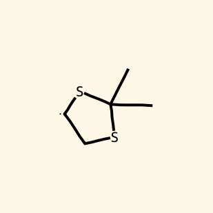 CC1(C)S[CH]CS1